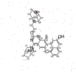 Oc1cc(-c2c(Cl)cc3c(N4CC5CCC(C4)N5)nc(OCCN4C5CC6CC4CC(C5)O6)nc3c2F)c2ccccc2c1